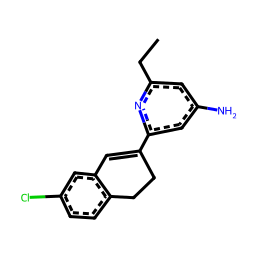 CCc1cc(N)cc(C2=Cc3cc(Cl)ccc3CC2)n1